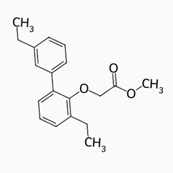 CCc1cccc(-c2cccc(CC)c2OCC(=O)OC)c1